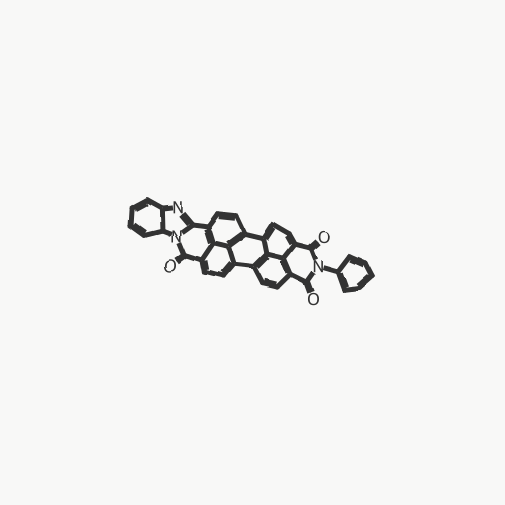 O=C1c2ccc3c4ccc5c(=O)n6c(c7ccc(c8ccc(c2c38)C(=O)N1c1ccccc1)c4c57)=NC1C=CC=CC16